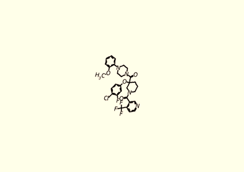 COc1ccccc1N1CCN(C(=O)C2(Oc3ccc(Cl)c(F)c3)CCCN(C(=O)c3cnccc3C(F)(F)F)C2)CC1